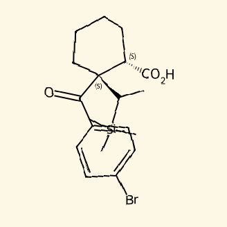 CC([C@@]1(C(=O)c2ccc(Br)cc2)CCCC[C@@H]1C(=O)O)[Si](C)(C)C